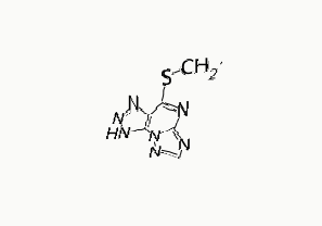 [CH2]Sc1nc2ncnn2c2[nH]nnc12